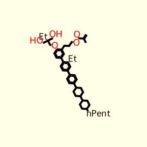 C=C(C)C(=O)OCCCc1cc(-c2ccc(-c3ccc(C4CCC(C5CCC(CCCCC)CC5)CC4)cc3)cc2CC)ccc1OCC(CC)(CO)CO